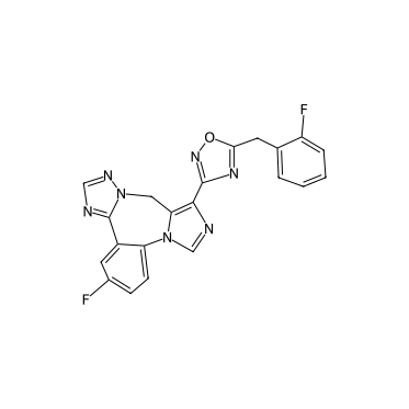 Fc1ccc2c(c1)-c1ncnn1Cc1c(-c3noc(Cc4ccccc4F)n3)ncn1-2